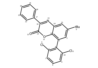 CC(C)(C)c1cc(-c2c(Cl)cccc2Cl)c2oc(=O)c(-c3ccccc3)nc2c1